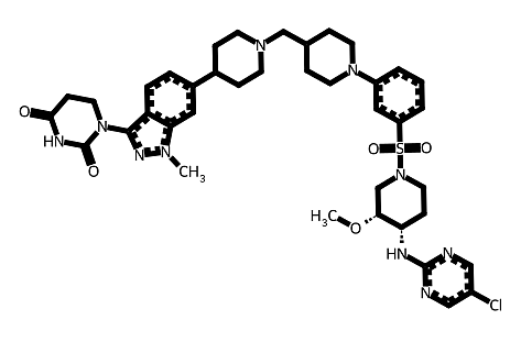 CO[C@@H]1CN(S(=O)(=O)c2cccc(N3CCC(CN4CCC(c5ccc6c(N7CCC(=O)NC7=O)nn(C)c6c5)CC4)CC3)c2)CC[C@@H]1Nc1ncc(Cl)cn1